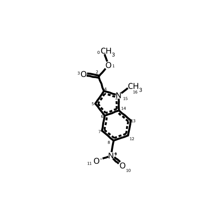 COC(=O)c1cc2cc([N+](=O)[O-])ccc2n1C